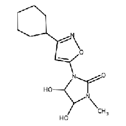 CN1C(=O)N(c2cc(C3CCCCC3)no2)C(O)C1O